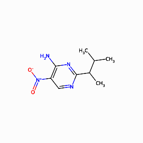 CC(C)C(C)c1ncc([N+](=O)[O-])c(N)n1